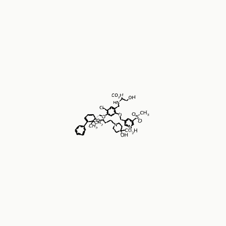 CC1(C)C(c2ccccc2)=CC=C[C@@]1(COc1cc(OCc2cncc(S(C)(=O)=O)c2)c(CNC(CO)C(=O)O)cc1Cl)OCCCN1CCC(O)(C(=O)O)CC1